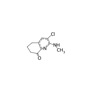 CNc1nc2c(cc1Cl)CCCC2=O